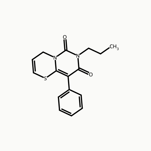 CCCn1c(=O)c(-c2ccccc2)c2n(c1=O)CC=CS2